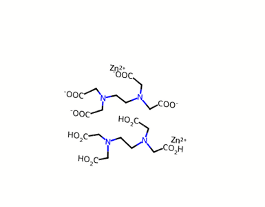 O=C(O)CN(CCN(CC(=O)O)CC(=O)O)CC(=O)O.O=C([O-])CN(CCN(CC(=O)[O-])CC(=O)[O-])CC(=O)[O-].[Zn+2].[Zn+2]